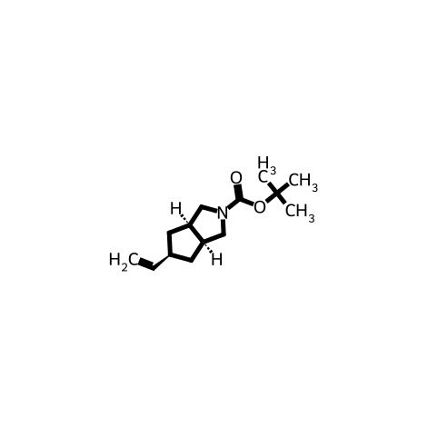 C=C[C@@H]1C[C@@H]2CN(C(=O)OC(C)(C)C)C[C@@H]2C1